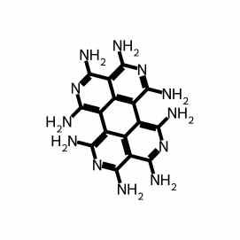 Nc1nc(N)c2c3c(N)nc(N)c4c(N)nc(N)c(c5c(N)nc(N)c1c25)c43